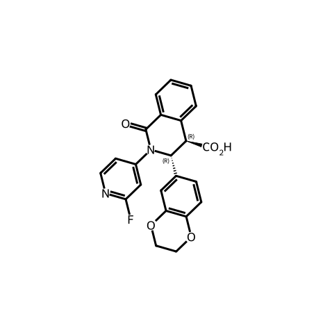 O=C(O)[C@@H]1c2ccccc2C(=O)N(c2ccnc(F)c2)[C@H]1c1ccc2c(c1)OCCO2